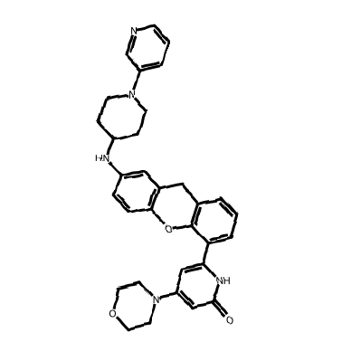 O=c1cc(N2CCOCC2)cc(-c2cccc3c2Oc2ccc(NC4CCN(c5cccnc5)CC4)cc2C3)[nH]1